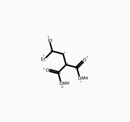 CCC(CC)CC(C(=O)OC)C(=O)OC